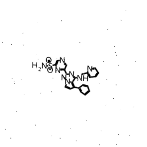 NS(=O)(=O)c1cncc(-c2nc(NCc3ccccn3)c3c(-c4ccccc4)ccn3n2)n1